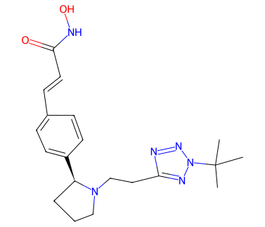 CC(C)(C)n1nnc(CCN2CCC[C@H]2c2ccc(C=CC(=O)NO)cc2)n1